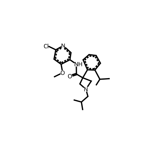 COc1cc(Cl)ncc1NC(=O)C1(c2ccccc2C(C)C)CN(CC(C)C)C1